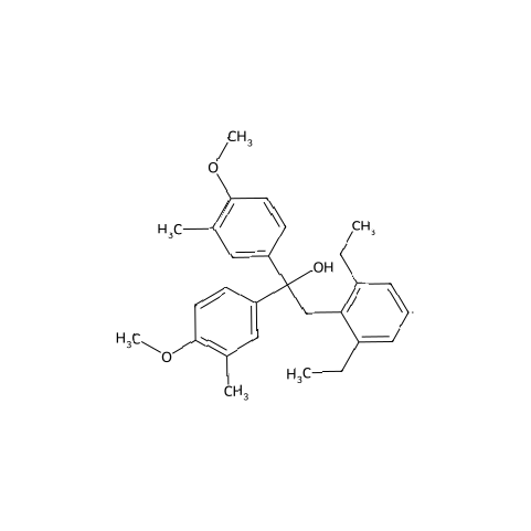 CCc1c[c]cc(CC)c1CC(O)(c1ccc(OC)c(C)c1)c1ccc(OC)c(C)c1